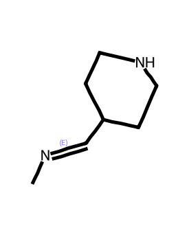 C/N=C/C1CCNCC1